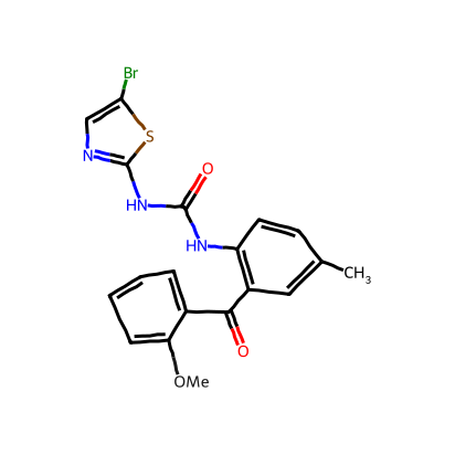 COc1ccccc1C(=O)c1cc(C)ccc1NC(=O)Nc1ncc(Br)s1